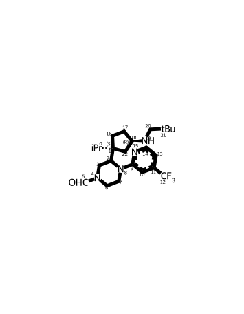 CC(C)[C@]1(C2CN(C=O)CCN2c2cc(C(F)(F)F)ccn2)CC[C@@H](NCC(C)(C)C)C1